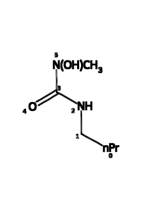 CCCCNC(=O)N(C)O